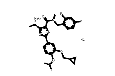 CN[C@@H](C)c1oc(-c2ccc(OC(F)F)c(OCC3CC3)c2)nc1C(=O)N(C)Cc1ccc(F)cc1F.Cl